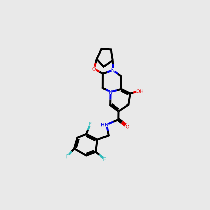 O=C(NCc1c(F)cc(F)cc1F)C1=CN2CC3OC4CCC(C4)N3CC2=C(O)C1